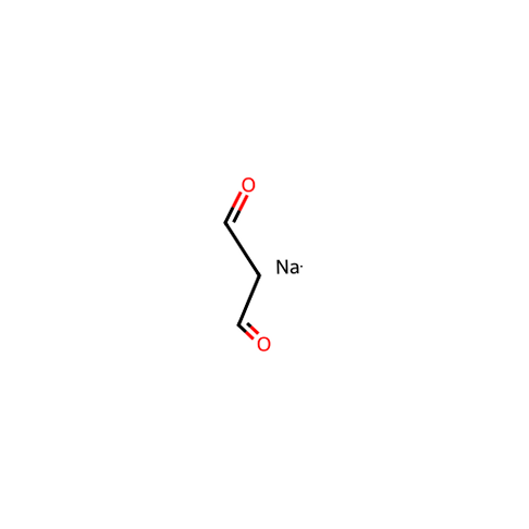 O=CCC=O.[Na]